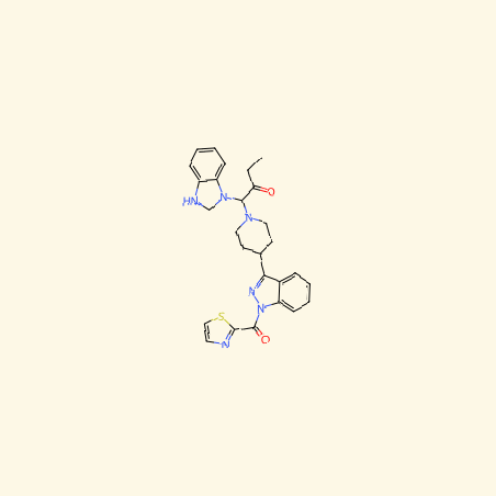 CCC(=O)C(N1CCC(c2nn(C(=O)c3nccs3)c3ccccc23)CC1)N1CNc2ccccc21